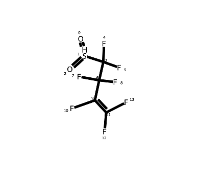 O=[SH](=O)C(F)(F)C(F)(F)C(F)=C(F)F